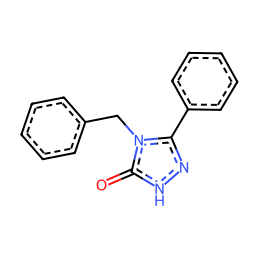 O=c1[nH]nc(-c2ccccc2)n1Cc1ccccc1